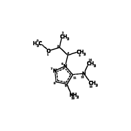 COC(C)C(C)n1ncc(N)c1N(C)C